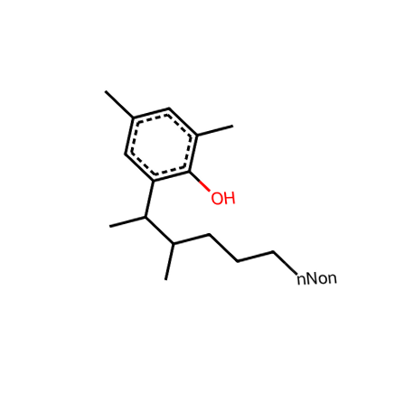 CCCCCCCCCCCCC(C)C(C)c1cc(C)cc(C)c1O